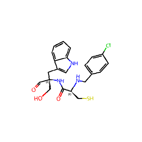 O=C[C@](CO)(Cc1c[nH]c2ccccc12)NC(=O)[C@H](CS)NCc1ccc(Cl)cc1